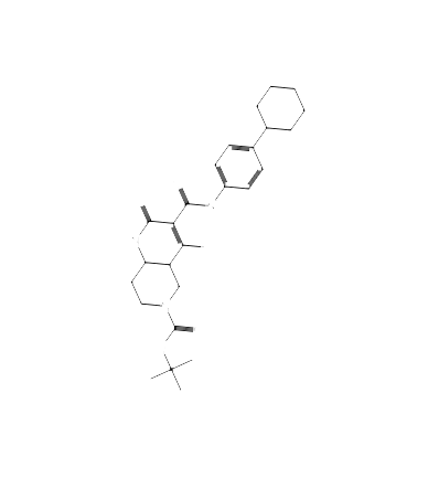 CC(C)(C)OC(=O)N1CCC2NC(=O)C(C(=O)Nc3ccc(C4CCCCC4)cc3)=C(O)C2C1